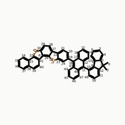 CC1(C)c2ccccc2-c2c(-c3c4ccccc4c(-c4ccc5c(c4)sc4c5ccc5sc6c7ccccc7ccc6c54)c4ccccc34)cccc21